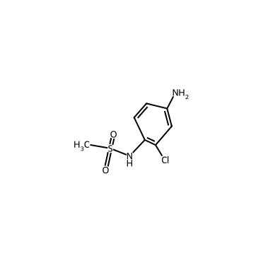 CS(=O)(=O)Nc1ccc(N)cc1Cl